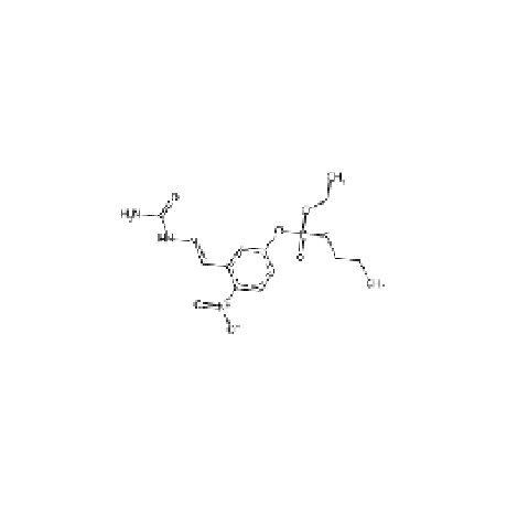 CCCSP(=O)(OCC)Oc1ccc([N+](=O)[O-])c(C=NNC(N)=O)c1